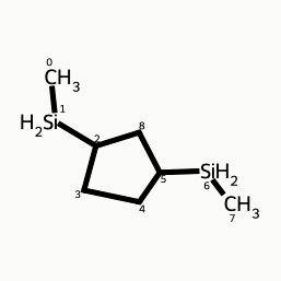 C[SiH2]C1CCC([SiH2]C)C1